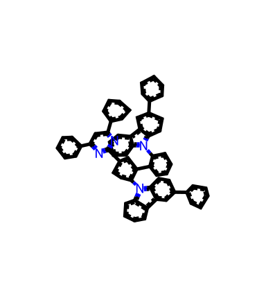 c1ccc(-c2ccc3c(c2)c2ccccc2n3-c2ccccc2-c2cc(-c3nc(-c4ccccc4)cc(-c4ccccc4)n3)ccc2-n2c3ccccc3c3cc(-c4ccccc4)ccc32)cc1